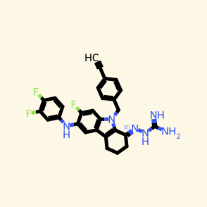 C#Cc1ccc(Cn2c3c(c4cc(Nc5ccc(F)c(F)c5)c(F)cc42)CCC/C3=N\NC(=N)N)cc1